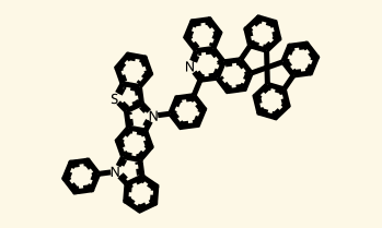 c1ccc(-n2c3ccccc3c3cc4c(cc32)c2sc3ccccc3c2n4-c2cccc(-c3nc4ccccc4c4c5c(ccc34)C3(c4ccccc4-c4ccccc43)c3ccccc3-5)c2)cc1